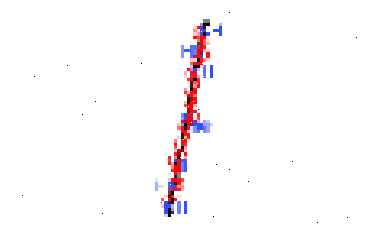 CCCNC(=O)CCOCCNC(=O)CCOCCNC(=O)CCOCCOCCOCCOCCN(CCOCCOCCOCCOCCC(=O)NCCOCCC(=O)NCCOCCC(=O)NCCC)C(=O)CCN=[N+]=[N-]